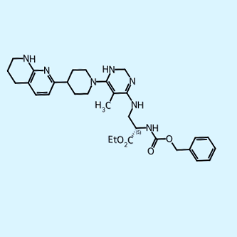 CCOC(=O)[C@H](CNC1=NCNC(N2CCC(c3ccc4c(n3)NCCC4)CC2)=C1C)NC(=O)OCc1ccccc1